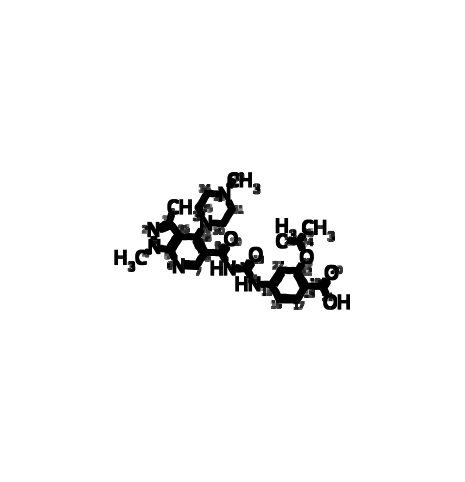 Cc1nn(C)c2ncc(C(=O)NC(=O)Nc3ccc(C(=O)O)c(OC(C)C)c3)c(N3CCN(C)CC3)c12